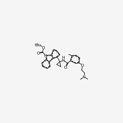 Cc1ccc(OCCN(C)C)cc1C(=O)NC1(c2cccc3c2c2ccccc2n3C(=O)OC(C)(C)C)CC1